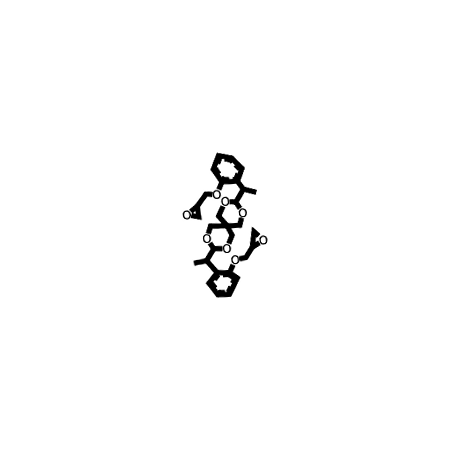 CC(c1ccccc1OCC1CO1)C1OCC2(CO1)COC(C(C)c1ccccc1OCC1CO1)OC2